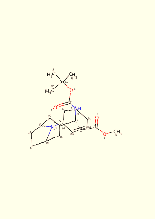 COC(=O)C[C@@H](NC(=O)OC(C)(C)C)C1CC2CCC(C1)N2C1C=CCCC1